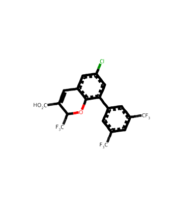 O=C(O)C1=Cc2cc(Cl)cc(-c3cc(C(F)(F)F)cc(C(F)(F)F)c3)c2OC1C(F)(F)F